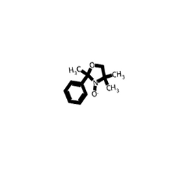 CC1(C)COC(C)(c2ccccc2)N1[O]